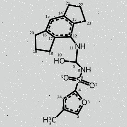 Cc1coc(S(=O)(=O)NC(O)Nc2c3c(cc4c2CCC4)CCC3)c1